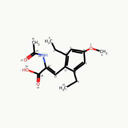 CCc1cc(OC)cc(CC)c1/C=C(\NC(C)=O)C(=O)O